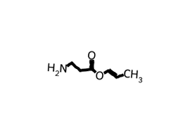 C/C=C/OC(=O)CCN